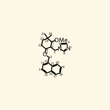 COC1C(Cn2ccnc2)C(OCc2cccc3ccccc23)CCC1(C)C